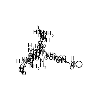 CCCCNc1nc(N)c2nc(O)n(Cc3ccc(NC(=O)C(CCCCNC(=O)C4CCC(CN5C(=O)CC(SCC(=O)NCCCCC6NC7(C)C8CCCCCCCCCC8C7(C)C6=O)C5=O)CC4)NC(=O)C(CCCCN)NC(=O)C(CCCCN)NC(=O)C(CCCCN)NC(=O)C(CO)NC(=O)C(N)CSCC(COC(C)=O)OC(C)=O)cc3)c2n1